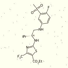 CCOC(=O)c1sc(N[C@@H](CNc2ccc(F)c(S(C)(=O)=O)c2)C(C)C)nc1C(F)(F)F